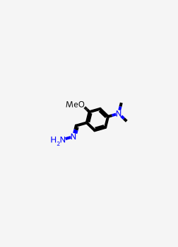 COc1cc(N(C)C)ccc1C=NN